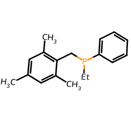 CCP(Cc1c(C)cc(C)cc1C)c1ccccc1